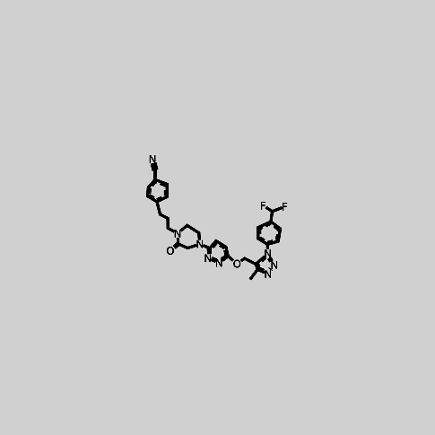 Cc1nnn(-c2ccc(C(F)F)cc2)c1COc1ccc(N2CCN(CCCc3ccc(C#N)cc3)C(=O)C2)nn1